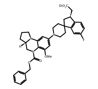 CCOC(=O)C[C@@H]1CC2(CCN(c3cc(OC)c4c(c3)N3CCC[C@H]3CN4C(=O)OCc3ccccc3)CC2)c2cc(F)ccc21